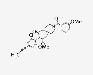 CC#Cc1cc(Cl)c(C2C(=O)CC3(CCN(C(=O)c4cccc(OC)c4)CC3)CC2=O)c(OC)c1